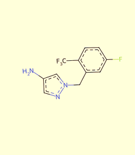 Nc1cnn(Cc2cc(F)ccc2C(F)(F)F)c1